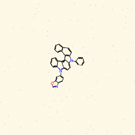 c1ccc(-n2c3ccc4ccccc4c3c3c4c5ccccc5n(-c5ccc6ncoc6c5)c4ccc32)cc1